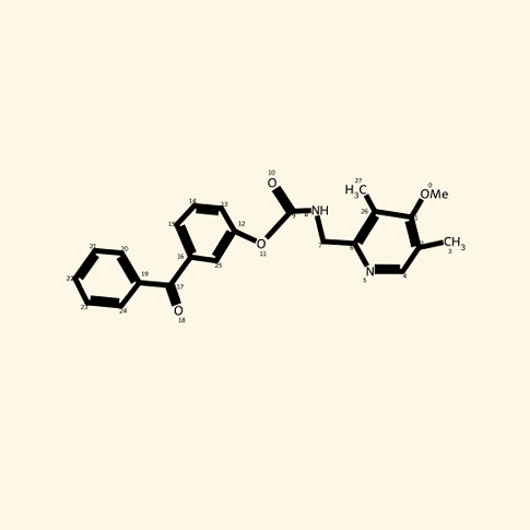 COc1c(C)cnc(CNC(=O)Oc2cccc(C(=O)c3ccccc3)c2)c1C